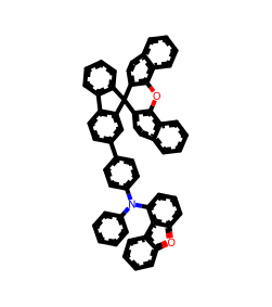 c1ccc(N(c2ccc(-c3ccc4c(c3)C3(c5ccccc5-4)c4ccc5ccccc5c4Oc4c3ccc3ccccc43)cc2)c2cccc3oc4ccccc4c23)cc1